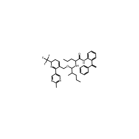 C=C(c1ccccc1)c1ccccc1NC(=O)C(CCC)NC(OCC1=CCC(C(F)(F)F)N=C1c1cnc(C)nc1)C(C)CCC